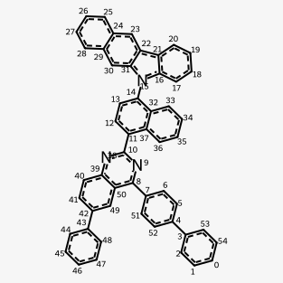 c1ccc(-c2ccc(-c3nc(-c4ccc(-n5c6ccccc6c6cc7ccccc7cc65)c5ccccc45)nc4ccc(-c5ccccc5)cc34)cc2)cc1